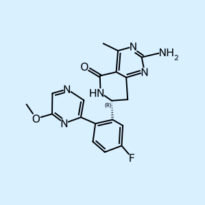 COc1cncc(-c2ccc(F)cc2[C@H]2Cc3nc(N)nc(C)c3C(=O)N2)n1